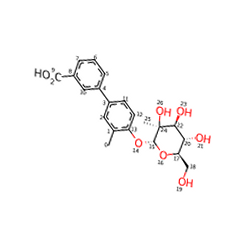 Cc1cc(-c2cccc(C(=O)O)c2)ccc1O[C@H]1O[C@H](CO)[C@@H](O)[C@H](O)[C@]1(C)O